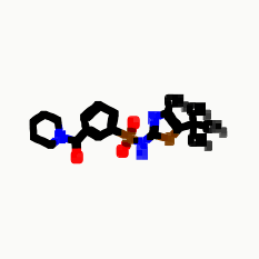 Cc1nc(NS(=O)(=O)c2cccc(C(=O)N3CCCCC3)c2)sc1C(C)(C)C